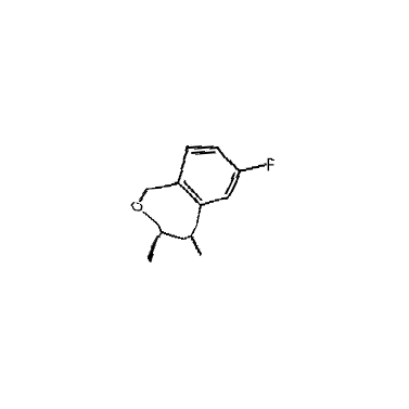 CC1c2cc(F)ccc2CO[C@@H]1C